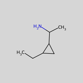 CCC1CC1C(C)N